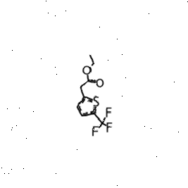 CCOC(=O)Cc1ccc(C(F)(F)F)s1